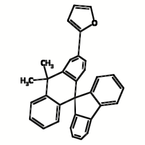 CC1(C)c2ccccc2C2(c3ccccc3-c3ccccc32)c2ccc(-c3ccco3)cc21